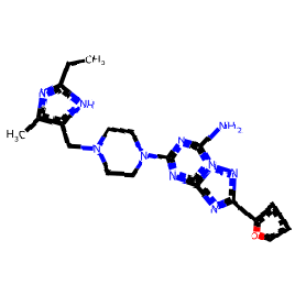 CCc1nc(C)c(CN2CCN(c3nc(N)n4nc(-c5ccco5)nc4n3)CC2)[nH]1